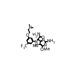 COc1nc(N)nc([C@@](C)(Nc2cc(OCCN(C)C)cc(C(F)(F)F)c2)C(N)=O)c1C#N